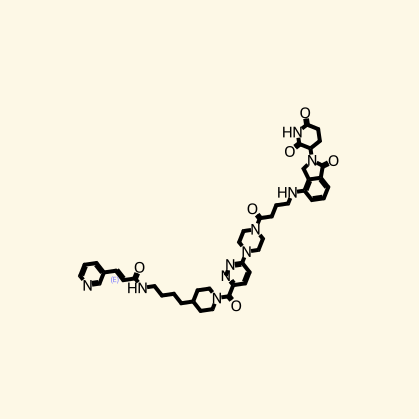 O=C(/C=C/c1cccnc1)NCCCCC1CCN(C(=O)c2ccc(N3CCN(C(=O)CCCNc4cccc5c4CN(C4CCC(=O)NC4=O)C5=O)CC3)nn2)CC1